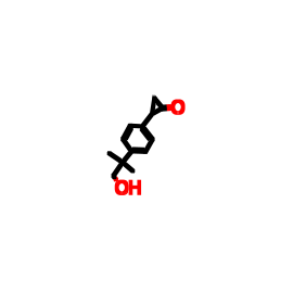 CC(C)(CO)c1ccc(C2CC2=O)cc1